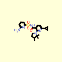 CC1CCN(c2nc(C3CC3)ccc2C(=O)NS(=O)(=O)c2cccc(N)n2)C1(C)C